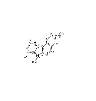 Cc1cncc2c3c4ccc(O)cc4ccc3n(Cl)c12